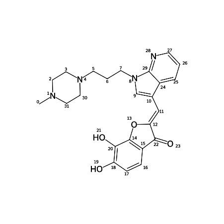 CN1CCN(CCCn2cc(/C=C3\Oc4c(ccc(O)c4O)C3=O)c3cccnc32)CC1